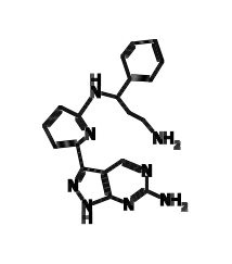 NCCC(Nc1cccc(-c2n[nH]c3nc(N)ncc23)n1)c1ccccc1